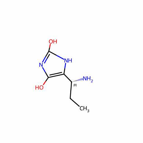 CC[C@@H](N)c1[nH]c(O)nc1O